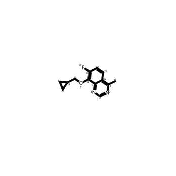 Cc1ncnc2c(OCC3CC3)c(F)ccc12